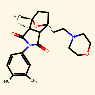 C[C@@]12CC[C@](CCN3CCOCC3)(O1)C1C(=O)N(c3ccc(C#N)c(C(F)(F)F)c3)C(=O)[C@H]12